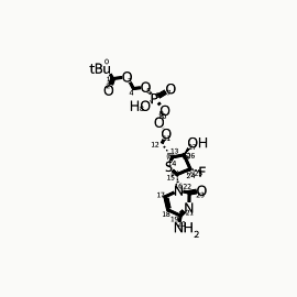 CC(C)(C)C(=O)OCOP(=O)(O)OOOC[C@H]1S[C@@H](n2ccc(N)nc2=O)[C@@H](F)[C@@H]1O